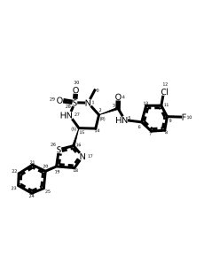 CN1[C@@H](C(=O)Nc2ccc(F)c(Cl)c2)C[C@@H](c2ncc(-c3ccccc3)s2)NS1(=O)=O